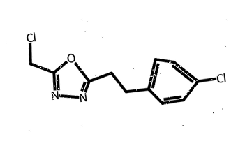 ClCc1nnc(CCc2ccc(Cl)cc2)o1